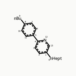 CCCCCCCc1ccc(-c2ccc(CCCC)cc2)nc1